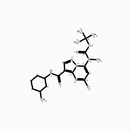 CC1CCCC(NC(=O)c2cnn3c(N(C)C(=O)OC(C)(C)C)cc(Cl)nc23)C1